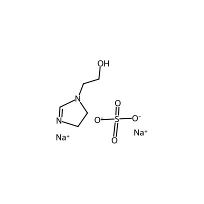 O=S(=O)([O-])[O-].OCCN1C=NCC1.[Na+].[Na+]